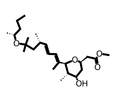 CCC[C@@H](C)OC(C)(C)C[C@H](C)/C=C/C=C(\C)[C@H]1O[C@@H](CC(=O)OC)C[C@@H](O)[C@@H]1C